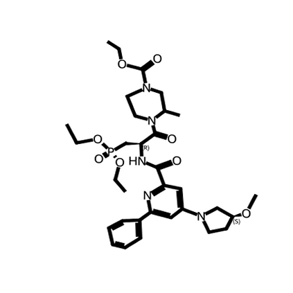 CCOC(=O)N1CCN(C(=O)[C@H](CP(=O)(OCC)OCC)NC(=O)c2cc(N3CC[C@H](OC)C3)cc(-c3ccccc3)n2)C(C)C1